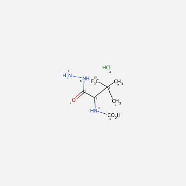 CC(C)(C(NC(=O)O)C(=O)NN)C(F)(F)F.Cl